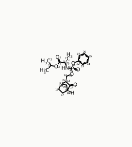 CC(C)OC(=O)[C@H](C)NP(=O)(OC[C@H]1C(=O)[C@@H]2CCN1C2)Oc1ccccc1